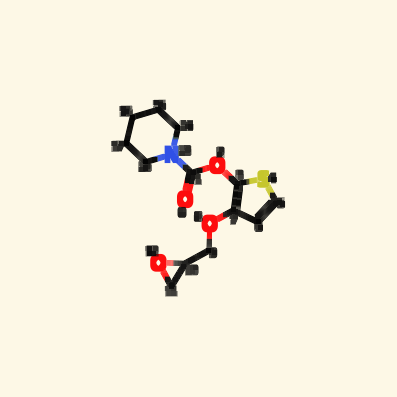 O=C(Oc1sccc1OCC1CO1)N1CCCCC1